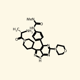 CNC(=O)Nc1ccc(-c2nc(N3CCOCC3)nc3[nH]nc(C4CCN(C(=O)[C@H](C)N)CC4)c23)cc1